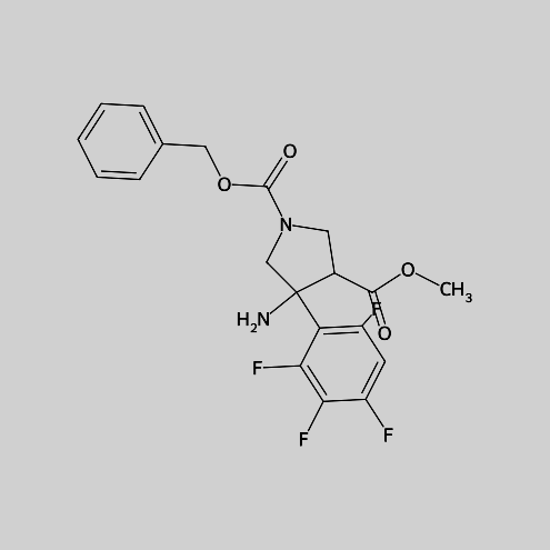 COC(=O)C1CN(C(=O)OCc2ccccc2)CC1(N)c1c(F)cc(F)c(F)c1F